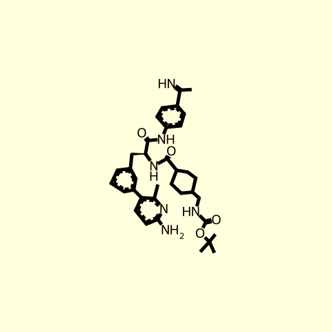 CC(=N)c1ccc(NC(=O)[C@H](Cc2cccc(-c3ccc(N)nc3C)c2)NC(=O)C2CCC(CNC(=O)OC(C)(C)C)CC2)cc1